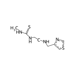 CNC(=S)NCCNCc1cscn1